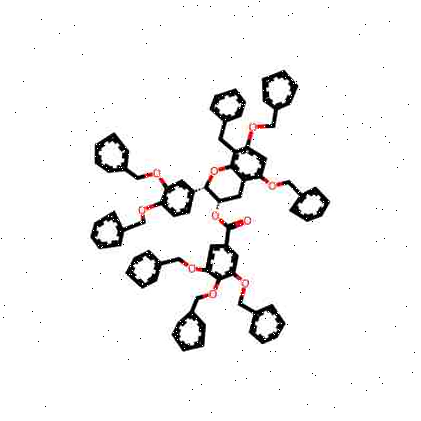 O=C(O[C@H]1Cc2c(OCc3ccccc3)cc(OCc3ccccc3)c(Cc3ccccc3)c2O[C@H]1c1ccc(OCc2ccccc2)c(OCc2ccccc2)c1)c1cc(OCc2ccccc2)c(OCc2ccccc2)c(OCc2ccccc2)c1